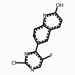 Oc1ccc2cc(-c3nc(Cl)ncc3F)ccc2n1